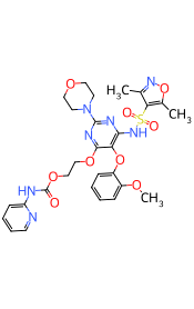 COc1ccccc1Oc1c(NS(=O)(=O)c2c(C)noc2C)nc(N2CCOCC2)nc1OCCOC(=O)Nc1ccccn1